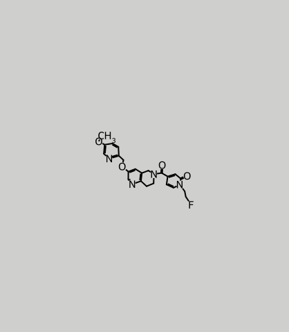 COc1ccc(COc2cnc3c(c2)CN(C(=O)c2ccn(CCF)c(=O)c2)CC3)nc1